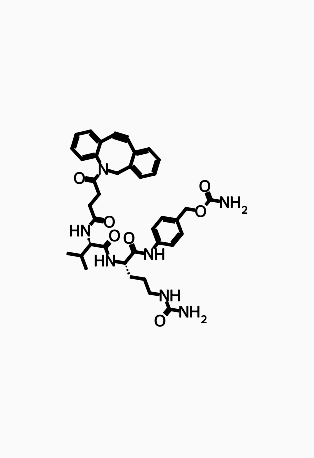 CC(C)[C@H](NC(=O)CCC(=O)N1Cc2ccccc2C#Cc2ccccc21)C(=O)N[C@@H](CCCNC(N)=O)C(=O)Nc1ccc(COC(N)=O)cc1